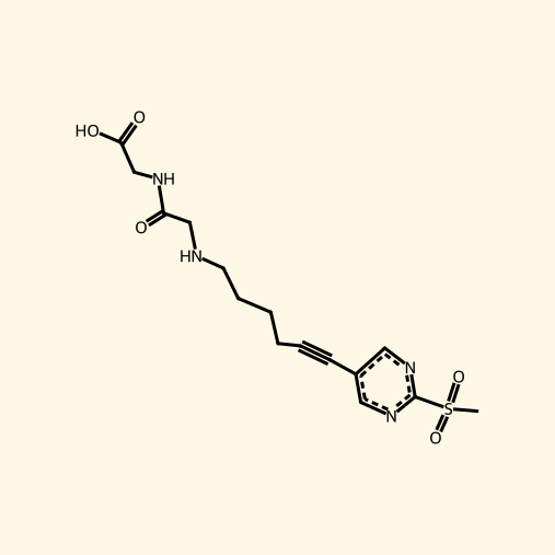 CS(=O)(=O)c1ncc(C#CCCCCNCC(=O)NCC(=O)O)cn1